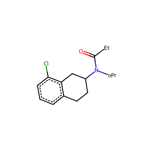 CCCN(C(=O)CC)C1CCc2cccc(Cl)c2C1